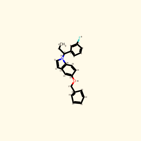 CCC(c1cccc(F)c1)n1ccc2cc(OCc3ccccc3)ccc21